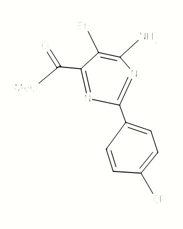 CCc1c(N)nc(-c2ccc(C(F)(F)F)cc2)nc1C(=O)OC